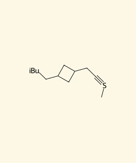 CCC(C)CC1CC(CC#SC)C1